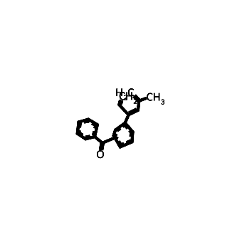 C=C/C(=C\C(=C)C)c1cccc(C(=O)c2ccccc2)c1